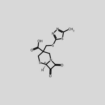 Cc1nnc(SCC2(C(=O)O)CS[C@@H]3C(=O)C(=O)N3C2)s1